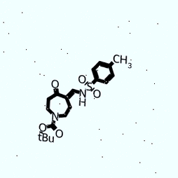 Cc1ccc(S(=O)(=O)N/C=C2\CCN(C(=O)OC(C)(C)C)CCC2=O)cc1